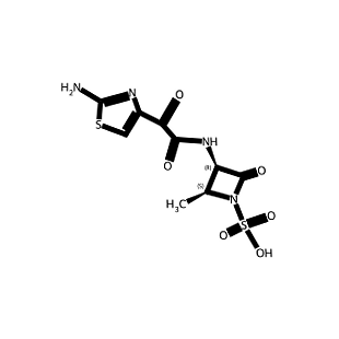 C[C@H]1[C@@H](NC(=O)C(=O)c2csc(N)n2)C(=O)N1S(=O)(=O)O